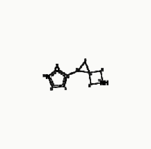 c1cc(C2CC23CNC3)on1